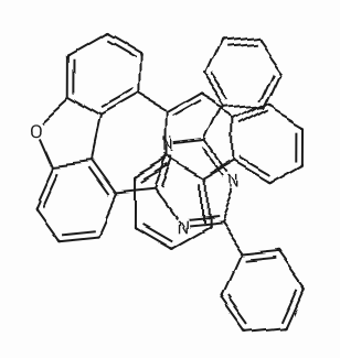 c1ccc(-c2nc(-c3ccccc3)nc(-c3cccc4oc5cccc(-c6cc7ccccc7c7ccccc67)c5c34)n2)cc1